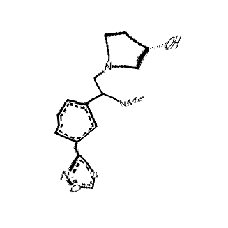 CNC(CN1CC[C@H](O)C1)c1cccc(-c2ncon2)c1